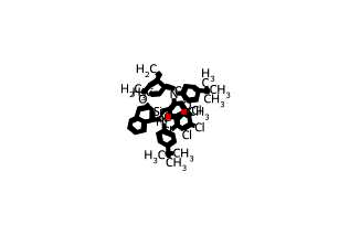 C=C/C1=C/C(=C)Oc2cc3ccccc3c3c2[Si@H]2Oc4c(Cl)c(Cl)c(Cl)c(Cl)c4OCC/C(=C1/C=C\C)N(c1ccc(C(C)(C)C)cc1)c1cc(C)cc(c12)N3c1ccc(C(C)(C)C)cc1